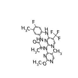 C=CC(=O)Nc1cc(C)c(F)cc1Nc1nc(Nc2nc(OC)ncc2C)ncc1C(F)(F)F